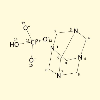 C1N2CN3CN1CN(C2)C3.[O-][Cl+3]([O-])([O-])O